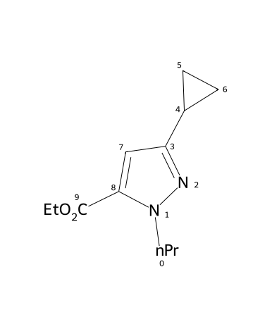 CCCn1nc(C2CC2)cc1C(=O)OCC